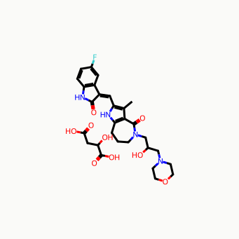 Cc1c(/C=C2\C(=O)Nc3ccc(F)cc32)[nH]c2c1C(=O)N(CC(O)CN1CCOCC1)CCC2.O=C(O)CC(O)C(=O)O